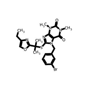 CCc1coc(C(C)(C)Sc2nc3c(c(=O)n(C)c(=O)n3C)n2Cc2cccc(Br)c2)n1